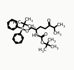 CC(C)C(=O)CCC(CO[Si](c1ccccc1)(c1ccccc1)C(C)(C)C)NC(=O)OC(C)(C)C